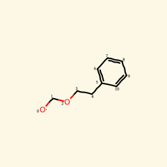 [O]COCCc1ccccc1